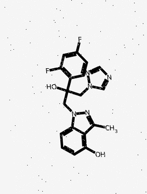 Cc1nn(CC(O)(Cn2cncn2)c2ccc(F)cc2F)c2cccc(O)c12